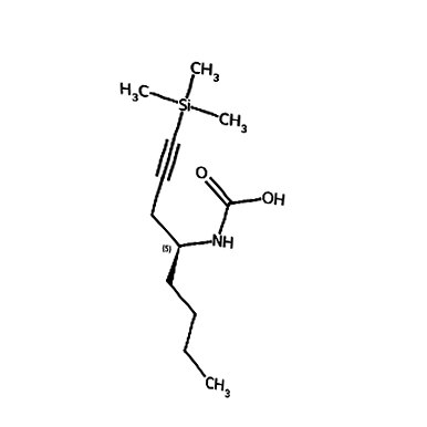 CCCC[C@@H](CC#C[Si](C)(C)C)NC(=O)O